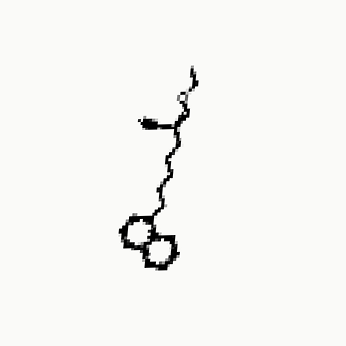 CCO/C=C(\C#N)CCCCCc1cccc2ccccc12